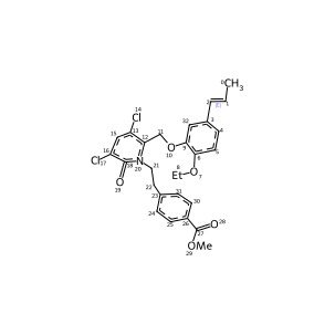 C/C=C/c1ccc(OCC)c(OCc2c(Cl)cc(Cl)c(=O)n2CCc2ccc(C(=O)OC)cc2)c1